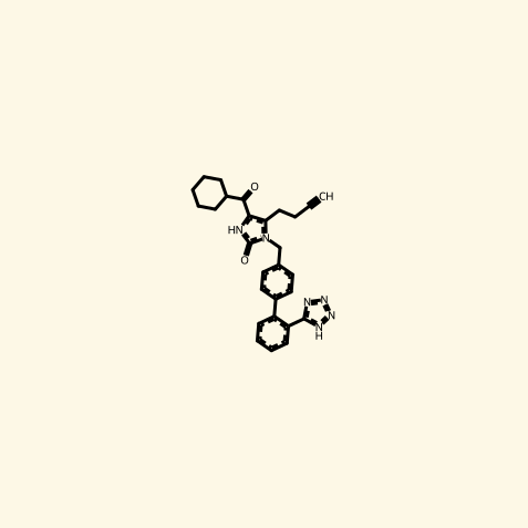 C#CCCc1c(C(=O)C2CCCCC2)[nH]c(=O)n1Cc1ccc(-c2ccccc2-c2nnn[nH]2)cc1